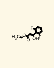 CCOC(=O)/C=C(\O)c1c(F)cccc1F